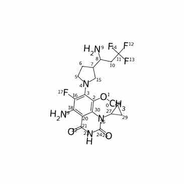 COc1c(N2CCC(C(N)CC(F)(F)F)C2)c(F)c(N)c2c(=O)[nH]c(=O)n(C3CC3)c12